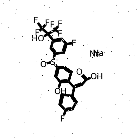 O=C(O)C=C(c1ccc(F)cc1)c1ccc([S+]([O-])c2cc(F)cc(C(O)(C(F)(F)F)C(F)(F)F)c2)cc1O.[Na].[Na]